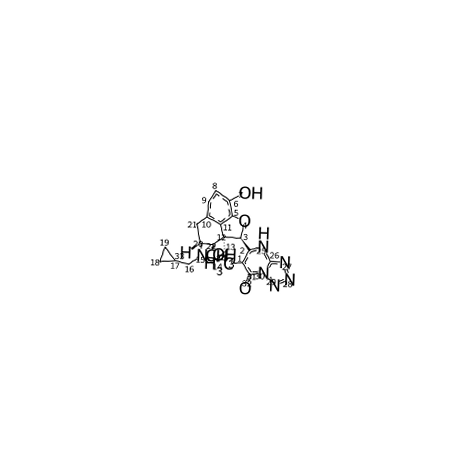 Cc1c([C@@H]2Oc3c(O)ccc4c3[C@@]23CCN(CC2CC2)[C@H](C4)[C@@]3(C)O)[nH]c2nnnn2c1=O